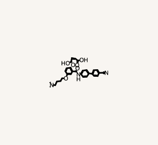 CN(C)CCCCOc1cccc(C(=O)Nc2ccc(-c3ccc(C#N)cc3)cc2)c1.O=C(O)/C=C\C(=O)O